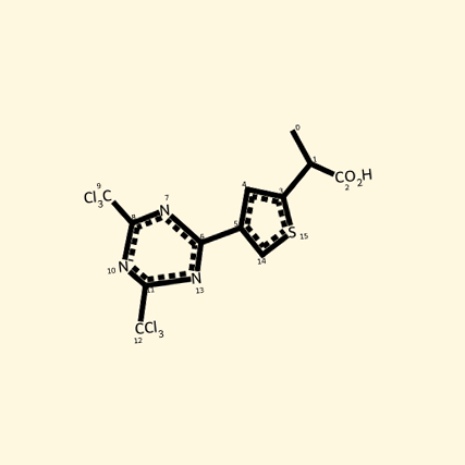 CC(C(=O)O)c1cc(-c2nc(C(Cl)(Cl)Cl)nc(C(Cl)(Cl)Cl)n2)cs1